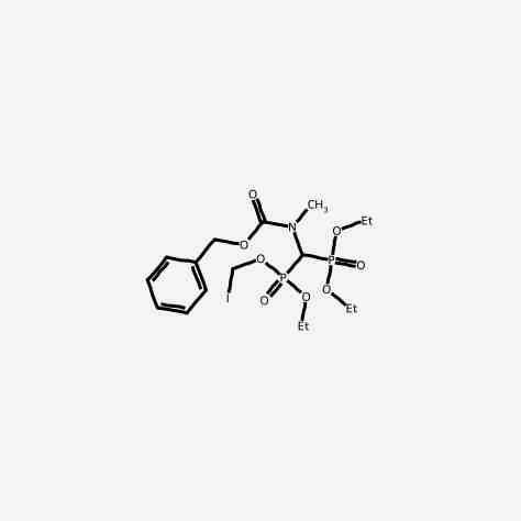 CCOP(=O)(OCC)C(N(C)C(=O)OCc1ccccc1)P(=O)(OCC)OCI